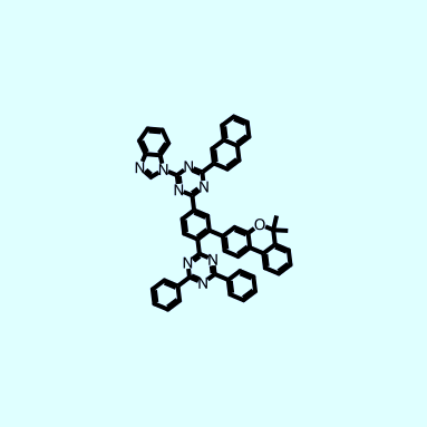 CC1(C)Oc2cc(-c3cc(-c4nc(-c5ccc6ccccc6c5)nc(-n5cnc6ccccc65)n4)ccc3-c3nc(-c4ccccc4)nc(-c4ccccc4)n3)ccc2-c2ccccc21